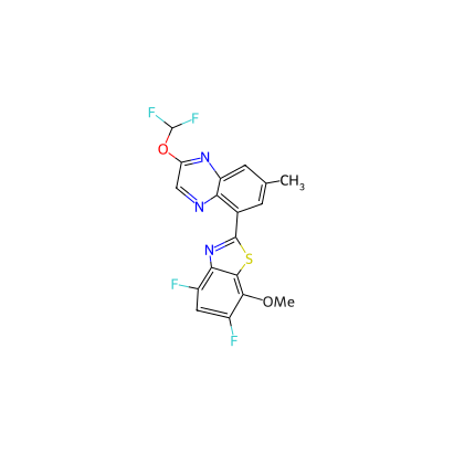 COc1c(F)cc(F)c2nc(-c3cc(C)cc4nc(OC(F)F)cnc34)sc12